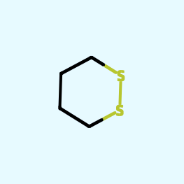 C1CCSSC1